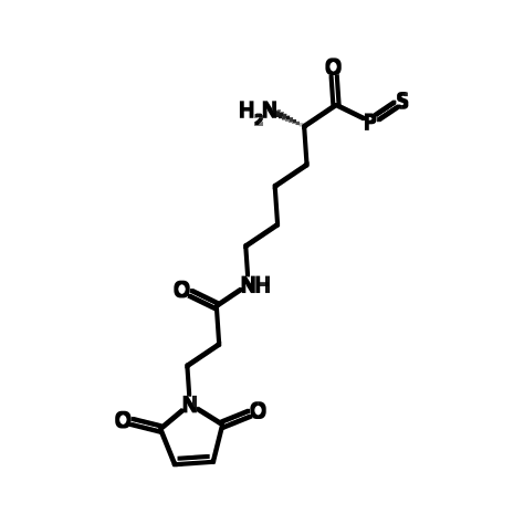 N[C@@H](CCCCNC(=O)CCN1C(=O)C=CC1=O)C(=O)P=S